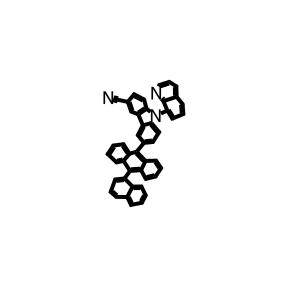 N#Cc1ccc2c(c1)c1cc(-c3c4ccccc4c(-c4cccc5ccccc45)c4ccccc34)ccc1n2-c1cccc2cccnc12